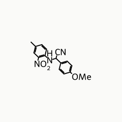 COc1ccc(C(C#N)Nc2ccc(C)cc2[N+](=O)[O-])cc1